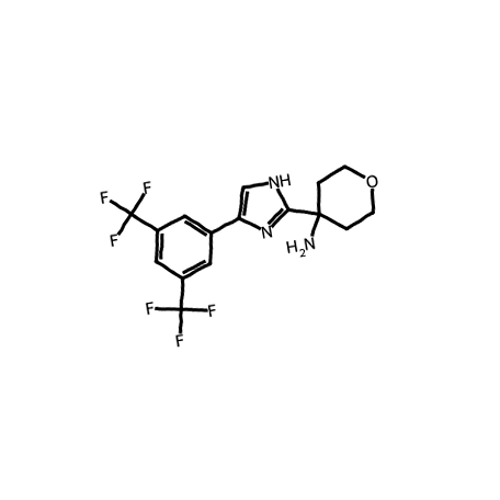 NC1(c2nc(-c3cc(C(F)(F)F)cc(C(F)(F)F)c3)c[nH]2)CCOCC1